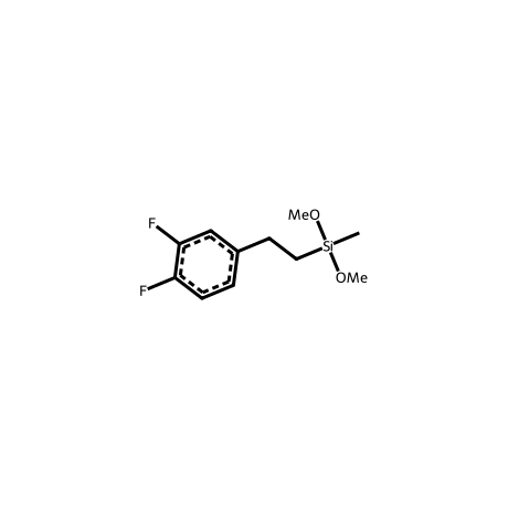 CO[Si](C)(CCc1ccc(F)c(F)c1)OC